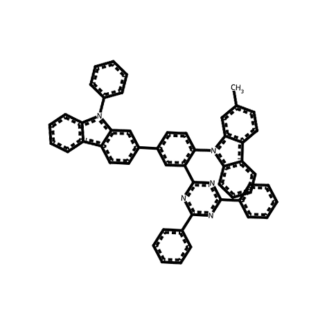 Cc1ccc2c3ccccc3n(-c3ccc(-c4ccc5c6ccccc6n(-c6ccccc6)c5c4)cc3-c3nc(-c4ccccc4)nc(-c4ccccc4)n3)c2c1